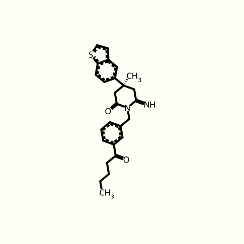 CCCCC(=O)c1cccc(CN2C(=N)C[C@](C)(c3ccc4sccc4c3)CC2=O)c1